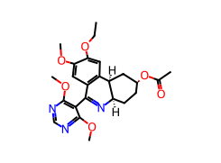 CCOc1cc2c(cc1OC)C(c1c(OC)ncnc1OC)=N[C@@H]1CC[C@@H](OC(C)=O)C[C@H]21